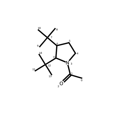 CC(=O)N1CCC(C(C)(C)C)C1C(C)(C)C